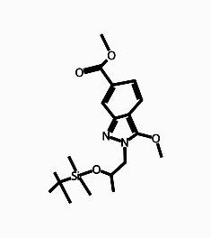 COC(=O)c1ccc2c(OC)n(CC(C)O[Si](C)(C)C(C)(C)C)nc2c1